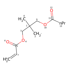 [CH2]C([CH2])(COC(=O)C=C)COC(=O)CCC